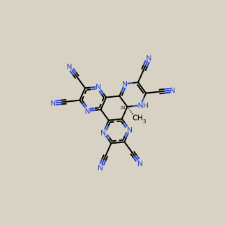 C[C@@]12NC(C#N)=C(C#N)N=C1c1nc(C#N)c(C#N)nc1-c1nc(C#N)c(C#N)nc12